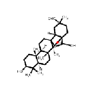 CC1(C)[C@@H](O)CC[C@]2(C)[C@H]3CC[C@]45OC[C@@]6(CC[C@](C)(C=O)C[C@H]64)[C@H](O)C[C@@]5(C)[C@]3(C)CC[C@@H]12